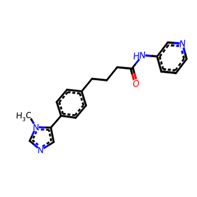 Cn1cncc1-c1ccc(CCCC(=O)Nc2cccnc2)cc1